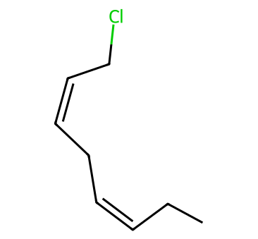 CC/C=C\C/C=C\CCl